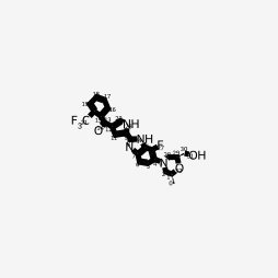 C[C@@H]1CN(c2ccc3nc(-c4cc(C(=O)c5ccccc5C(F)(F)F)c[nH]4)[nH]c3c2F)C[C@H](CO)O1